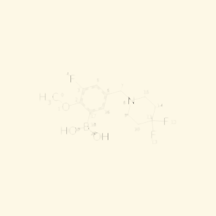 COc1c(F)cc(CN2CCC(F)(F)CC2)cc1B(O)O